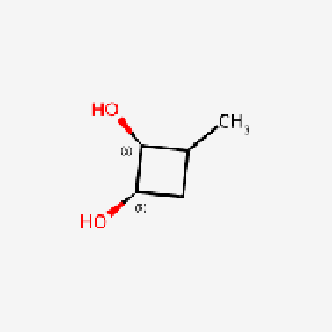 CC1C[C@@H](O)[C@H]1O